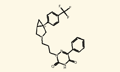 O=c1[nH]c(=O)n(CCCN2CC3C[C@]3(c3ccc(C(F)(F)F)cc3)C2)nc1-c1ccccc1